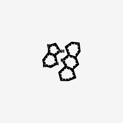 c1ccc2nc3ccccc3cc2c1.c1ncc2nc[nH]c2n1